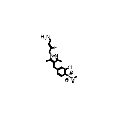 Cc1nn(CC(F)=CCN)c(C)c1Cc1ccc(S(=O)(=O)N(C)C)c(Cl)c1